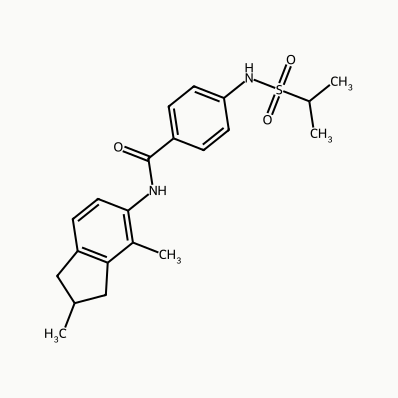 Cc1c(NC(=O)c2ccc(NS(=O)(=O)C(C)C)cc2)ccc2c1CC(C)C2